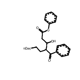 CCCCCCCCCCCCC(C(=O)c1ccccc1)C(O)CC(=O)Oc1ccccc1